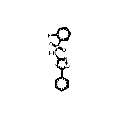 O=S(=O)(Nc1noc(-c2ccccc2)n1)c1ccccc1F